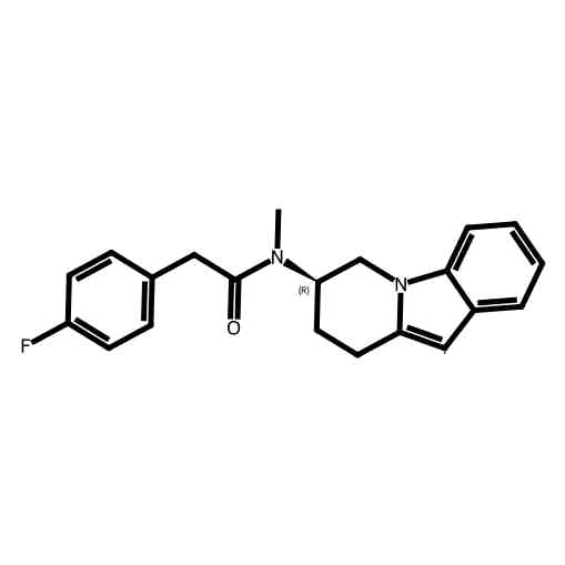 CN(C(=O)Cc1ccc(F)cc1)[C@@H]1CCc2[c]c3ccccc3n2C1